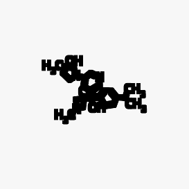 CC(C)c1ccc(C(O)(c2cncc(N3CC[C@](C)(O)C3)c2)C2(C)CN(C)C2)cc1